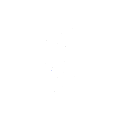 Cn1c2c(c3ccccc31)-c1ccccc1C2CCC1c2ccccc2-c2c1n(C)c1ccccc21